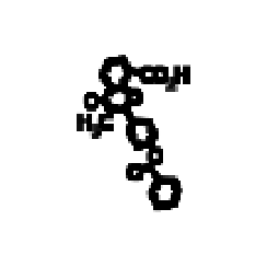 Cc1c(-c2ccc(OC(=O)c3ccccc3)cc2)oc2c(C(=O)O)cccc2c1=O